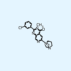 Cn1c(-c2cccc(Cl)c2)nc2cnc(N3CCN4CCC3CC4)cc2c1=O